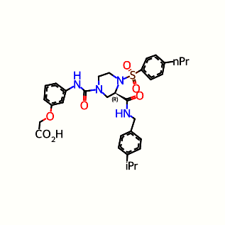 CCCc1ccc(S(=O)(=O)N2CCN(C(=O)Nc3cccc(OCC(=O)O)c3)C[C@@H]2C(=O)NCc2ccc(C(C)C)cc2)cc1